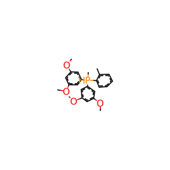 COc1cc(OC)cc([PH](C)(c2cc(OC)cc(OC)c2)c2ccccc2C)c1